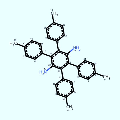 Cc1ccc(-c2c(N)c(-c3ccc(C)cc3)c(-c3ccc(C)cc3)c(N)c2-c2ccc(C)cc2)cc1